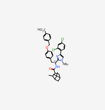 CCCCn1cc(-c2ccc(Cl)cc2Cl)nc1[C@H](Cc1ccc(OCc2ccc(C(=O)O)cc2)cc1)NC(=O)C1CC2CC(C1C)C2(C)C